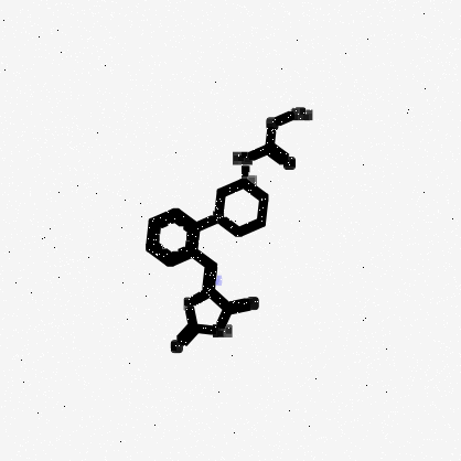 CC(C)(C)OC(=O)N[C@@H]1CCCN(c2ccccc2/C=C2\SC(=O)NC2=O)C1